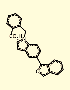 O=C(O)c1ccccc1Cn1ccc2cc(-c3occ4ccccc34)ccc21